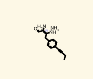 CCC#Cc1ccc(C/C(NN)=C(/N)C=O)cc1